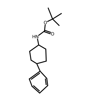 CC(C)(C)OC(=O)NC1CCC(c2ccccc2)CC1